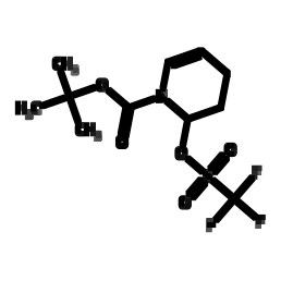 CC(C)(C)OC(=O)N1C=CCCC1OS(=O)(=O)C(F)(F)F